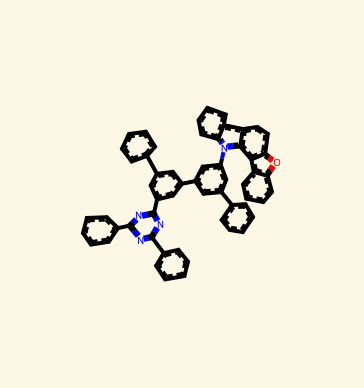 c1ccc(-c2cc(-c3cc(-c4ccccc4)cc(-n4c5ccccc5c5ccc6oc7ccccc7c6c54)c3)cc(-c3nc(-c4ccccc4)nc(-c4ccccc4)n3)c2)cc1